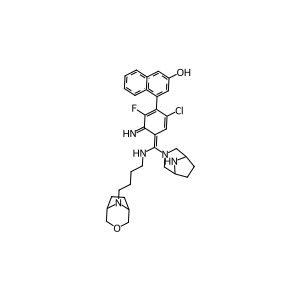 N=C1C(F)=C(c2cc(O)cc3ccccc23)C(Cl)=C/C1=C(/NCCCCN1C2CCC1COC2)N1CC2CCC(C1)N2